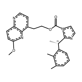 COc1ccc2nccc(CCOC(=O)n3ccnc3[C@@H](C)c3cccc(C)c3C)c2n1